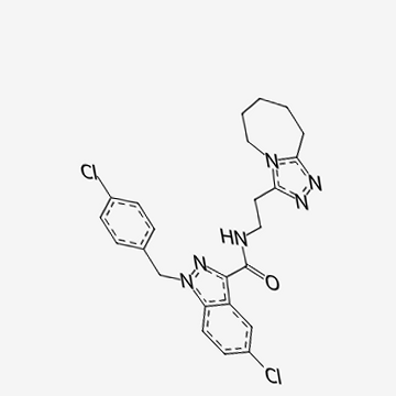 O=C(NCCc1nnc2n1CCCCC2)c1nn(Cc2ccc(Cl)cc2)c2ccc(Cl)cc12